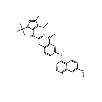 CCc1c(C)nn(C(C)(C)C)c1NC(=O)Cc1ncc(Oc2ccnc3cc(OC)ccc23)cc1OC